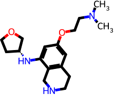 CN(C)CCOc1cc2c(c(N[C@@H]3CCOC3)c1)CNCC2